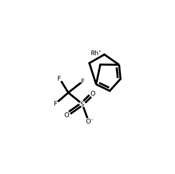 C1=C2CCC(=C1)C2.O=S(=O)([O-])C(F)(F)F.[Rh+]